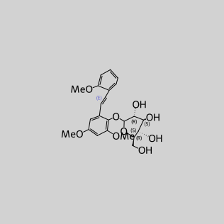 COc1cc(/C=C/c2ccccc2OC)c(OC2O[C@H](CO)[C@@H](O)[C@H](O)[C@H]2O)c(OC)c1